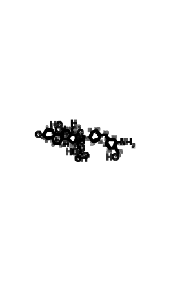 C[C@]12C=CC(=O)C=C1CC[C@H]1[C@@H]3C[C@H]4O[C@@H](c5ccc(Cc6ccc(CO)c(N)c6)cc5)O[C@@]4(C(=O)COP(=O)(O)O)[C@@]3(C)C[C@H](O)[C@@]12F